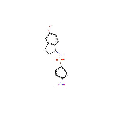 COc1ccc2c(c1)CCC2NS(=O)(=O)c1ccc([N+](=O)[O-])cc1